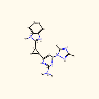 Cc1nc(C)n(-c2cc(C3CC3c3nc4ccccc4n3C)nc(N(C)C)n2)n1